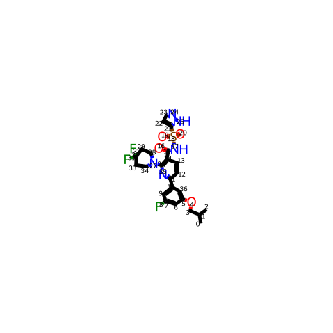 CC(C)COc1cc(F)cc(-c2ccc(C(=O)NS(=O)(=O)c3ccn[nH]3)c(N3CCC(F)(F)CC3)n2)c1